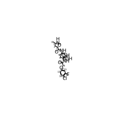 CC1CC(C(=O)NC23CCC(NC(=O)COc4ccc(Cl)c(F)c4)(CC2)[C@@H](O)C3)ON1